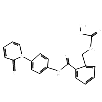 CC(C)(C)OC(=O)NCc1ccccc1C(=O)Nc1ccc(-n2ccccc2=O)cc1